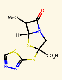 COC1C(=O)N2CC(Sc3nncs3)(C(=O)O)S[C@H]12